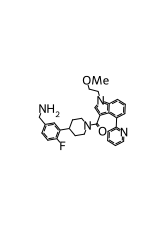 COCCn1cc(C(=O)N2CCC(c3cc(CN)ccc3F)CC2)c2c(-c3ccccn3)cccc21